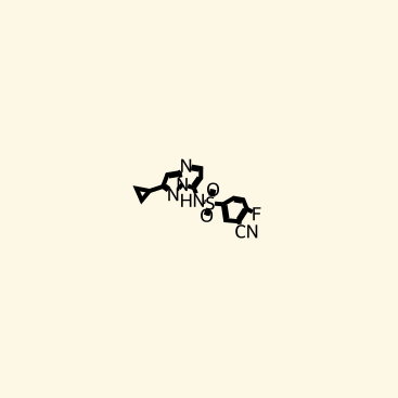 N#Cc1cc(S(=O)(=O)Nc2ccnc3cc(C4CC4)nn23)ccc1F